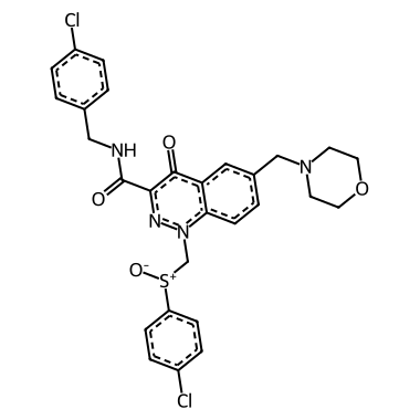 O=C(NCc1ccc(Cl)cc1)c1nn(C[S+]([O-])c2ccc(Cl)cc2)c2ccc(CN3CCOCC3)cc2c1=O